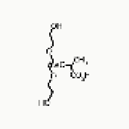 COC(C)C(=O)O.OCCOCCOCCO